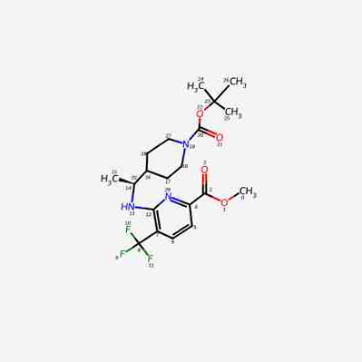 COC(=O)c1ccc(C(F)(F)F)c(N[C@@H](C)C2CCN(C(=O)OC(C)(C)C)CC2)n1